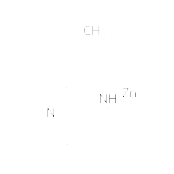 CCc1ncc[nH]1.[Zn]